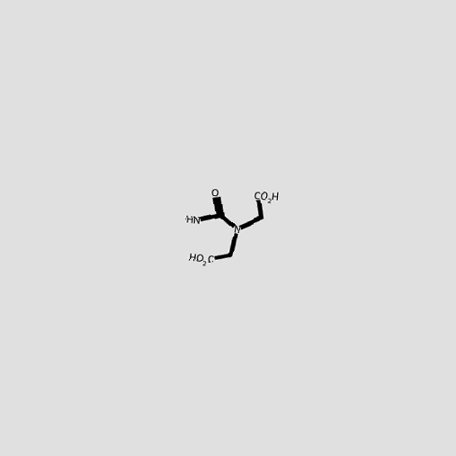 [NH]C(=O)N(CC(=O)O)CC(=O)O